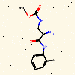 CC(=O)c1ccccc1NC(=O)C(N)CNC(=O)OC(C)(C)C